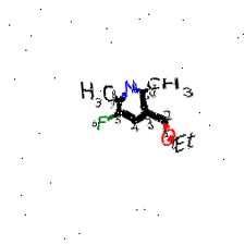 CCOCc1cc(F)c(C)nc1C